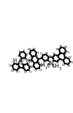 Cc1ccccc1N(c1c2ccccc2c(-c2ccc3c(c2)[Si](C)(C)c2cc4c5ccccc5c5ccccc5c4cc2-3)c2ccccc12)c1cccc2c1oc1ccccc12